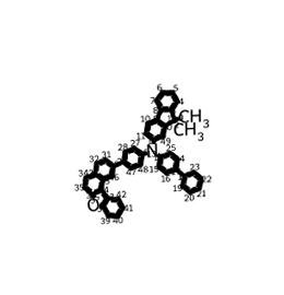 CC1(C)c2ccccc2-c2ccc(N(c3ccc(-c4ccccc4)cc3)c3ccc(-c4ccc5ccc6oc7ccccc7c6c5c4)cc3)cc21